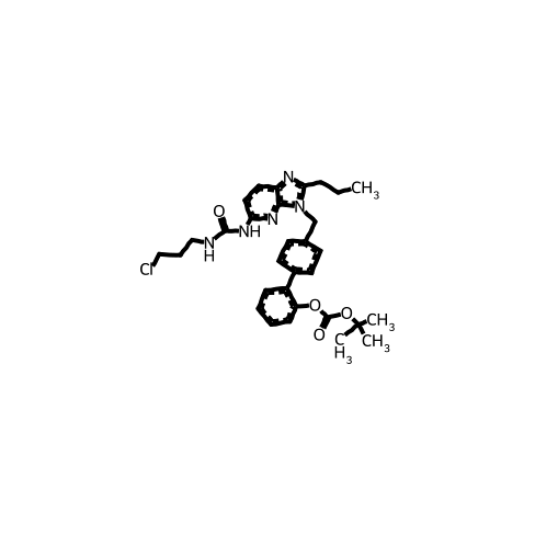 CCCc1nc2ccc(NC(=O)NCCCCl)nc2n1Cc1ccc(-c2ccccc2OC(=O)OC(C)(C)C)cc1